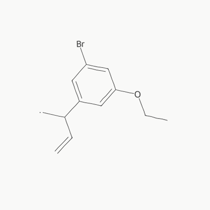 [CH2]C(C=C)c1cc(Br)cc(OCC)c1